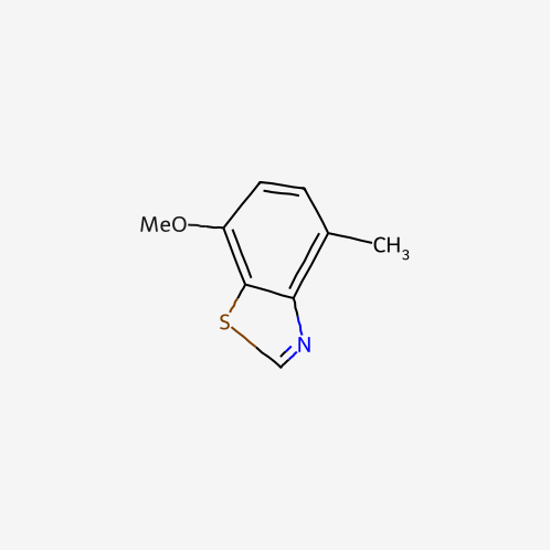 COc1ccc(C)c2ncsc12